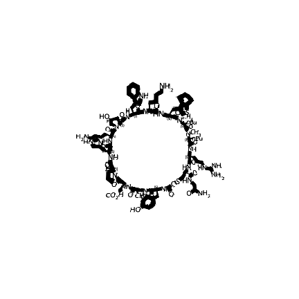 CCCC[C@H]1C(=O)N(C)[C@@H](CCCC)C(=O)N[C@@H](CCCNC(=N)N)C(=O)N[C@H](C(=O)NCC(N)=O)CSCC(=O)N[C@@H](Cc2ccc(O)cc2)C(=O)N(C)[C@@H](C)C(=O)N[C@@H](CC(=O)O)C(=O)N2CCC[C@H]2C(=O)N[C@@H](Cc2c[nH]cn2)C(=O)N[C@@H](CCCCN)C(=O)N2C[C@H](O)C[C@H]2C(=O)N[C@@H](Cc2c[nH]c3ccccc23)C(=O)N[C@@H](CCCCN)C(=O)N[C@@H](Cc2csc3ccccc23)C(=O)N1C